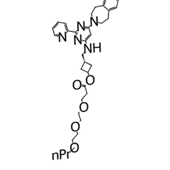 CCCOCCOCCOCCC(=O)O[C@H]1C[C@@H](CNc2cc(N3CCc4ccccc4CC3)nc(-c3ccccn3)n2)C1